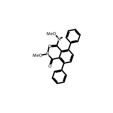 CON(C)C(=O)c1c(-c2ccccc2)ccc(-c2ccccc2)c1C(=O)N(C)OC